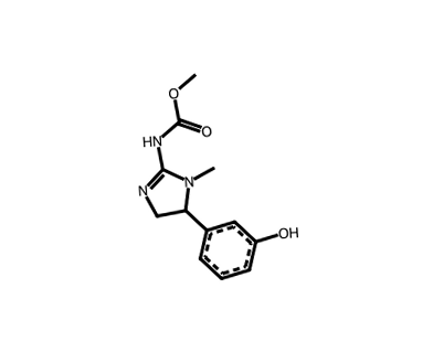 COC(=O)NC1=NCC(c2cccc(O)c2)N1C